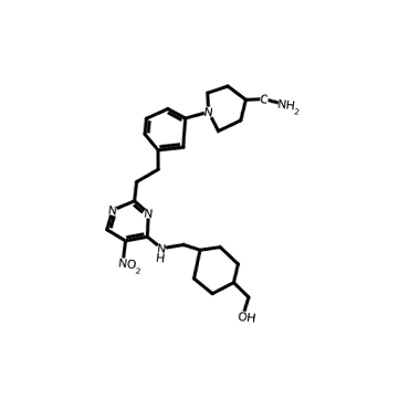 NCC1CCN(c2cccc(CCc3ncc([N+](=O)[O-])c(NCC4CCC(CO)CC4)n3)c2)CC1